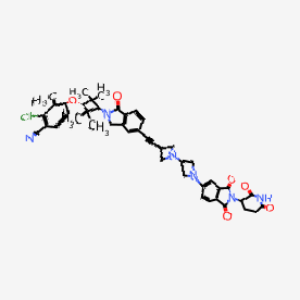 Cc1c(O[C@H]2C(C)(C)[C@H](N3Cc4cc(C#CC5CN(C6CN(c7ccc8c(c7)C(=O)N(C7CCC(=O)NC7=O)C8=O)C6)C5)ccc4C3=O)C2(C)C)ccc(C#N)c1Cl